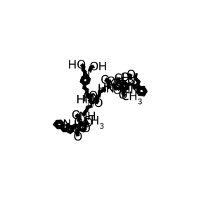 CC[C@]1(OC(=O)NCCCC[C@H](NC(=O)CCCc2ccc(N(CCO)CCO)cc2)C(=O)NCCCC[C@H](NC(=O)Oc2c(OC)cc(C3c4[nH]c5ccccc5c4CC4COC(=O)N43)cc2OC)C(=O)O)C(=O)OCc2c1cc1n(c2=O)Cc2cc3ccccc3nc2-1